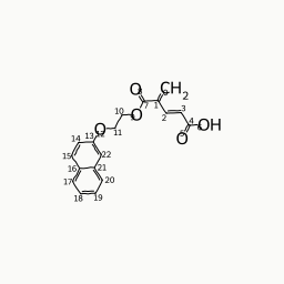 C=C(C=CC(=O)O)C(=O)OCCOc1ccc2ccccc2c1